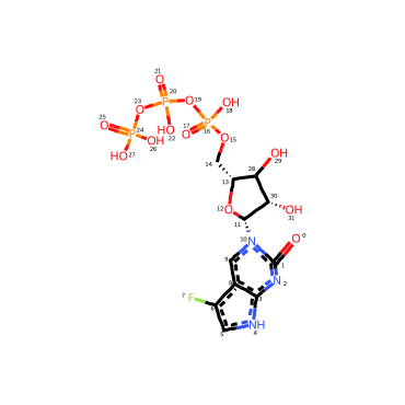 O=c1nc2[nH]cc(F)c2cn1[C@@H]1O[C@H](COP(=O)(O)OP(=O)(O)OP(=O)(O)O)C(O)[C@@H]1O